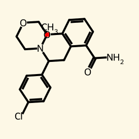 COc1cccc(C(N)=O)c1CC(c1ccc(Cl)cc1)N1CCOCC1